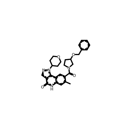 Cc1cc2[nH]c(=O)c3cnn(C4CCOCC4)c3c2cc1C(=O)N1CCC(OCc2ccccc2)C1